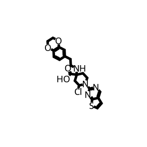 O=C(O)C1(NCCc2ccc3c(c2)OCCO3)CCN(c2ncc3ccsc3n2)C(Cl)C1